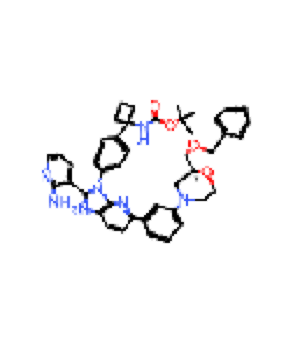 CC(C)(C)OC(=O)NC1(c2ccc(-n3c(-c4cccnc4N)nc4ccc(-c5cccc(N6CCO[C@H](COCc7ccccc7)C6)c5)nc43)cc2)CCC1